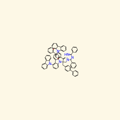 C=C(c1ccc(-c2ccccc2)cc1)C(Cc1ccc(-c2ccccc2)cc1)(CN(C)/C(=N\C(=N)c1ccccc1)c1ccccc1)n1c2cc(-n3c4ccccc4c4ccccc43)ccc2c2c(-n3c4ccccc4c4ccccc43)cccc21